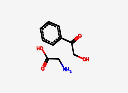 NCC(=O)O.O=C(CO)c1ccccc1